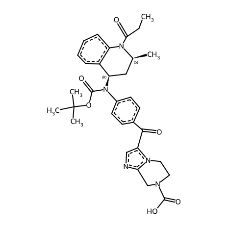 CCC(=O)N1c2ccccc2[C@H](N(C(=O)OC(C)(C)C)c2ccc(C(=O)c3cnc4n3CCN(C(=O)O)C4)cc2)C[C@@H]1C